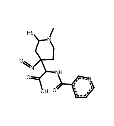 CN1CCC(N=O)(C(NC(=O)c2cccnc2)C(=O)O)CC1S